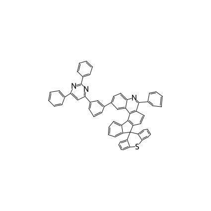 c1ccc(-c2cc(-c3cccc(-c4ccc5nc(-c6ccccc6)c6ccc7c(c6c5c4)-c4ccccc4C74c5ccccc5Sc5ccccc54)c3)nc(-c3ccccc3)n2)cc1